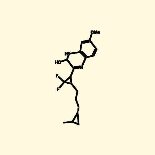 COc1ccc2c(c1)NC(O)C(C1C(CCC[C@@H]3CC3C)C1(F)F)=N2